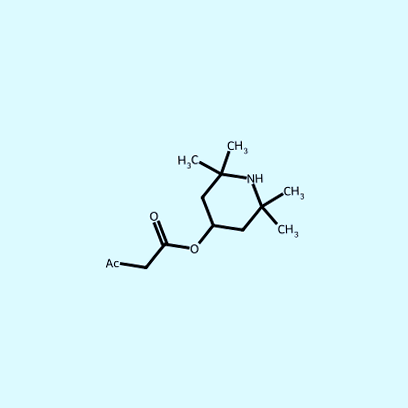 CC(=O)CC(=O)OC1CC(C)(C)NC(C)(C)C1